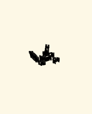 CN1CCN(c2ccnc3[nH]c(-c4n[nH]c5cnc(-c6cncc(N(C)C)c6)c(F)c45)nc23)CC1